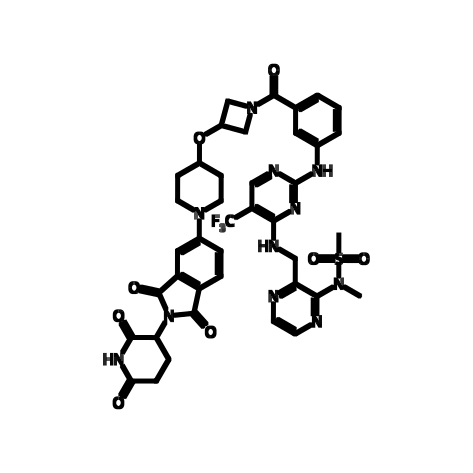 CN(c1nccnc1CNc1nc(Nc2cccc(C(=O)N3CC(OC4CCN(c5ccc6c(c5)C(=O)N(C5CCC(=O)NC5=O)C6=O)CC4)C3)c2)ncc1C(F)(F)F)S(C)(=O)=O